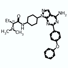 CC[C@@H](C(=O)NC1CCC(n2ncc3c(N)nc(-c4ccc(Oc5ccccc5)cc4)nc32)CC1)N(C)C